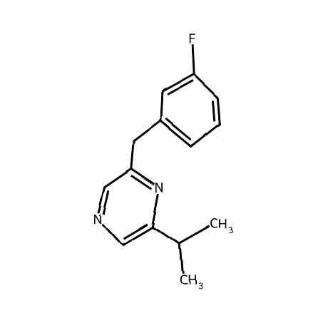 CC(C)c1cncc(Cc2cccc(F)c2)n1